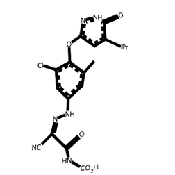 Cc1cc(NN=C(C#N)C(=O)NC(=O)O)cc(Cl)c1Oc1cc(C(C)C)c(=O)[nH]n1